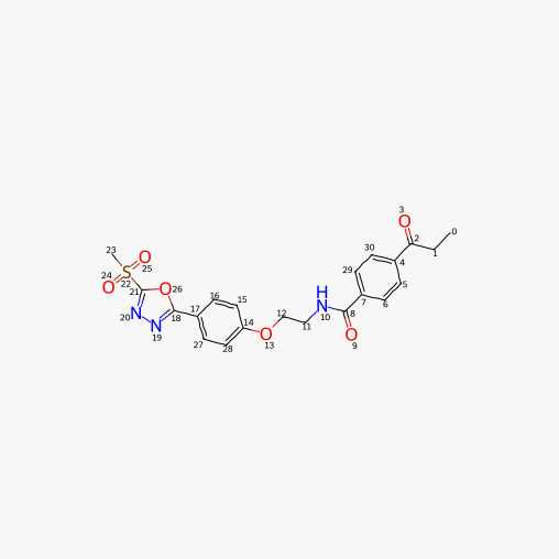 CCC(=O)c1ccc(C(=O)NCCOc2ccc(-c3nnc(S(C)(=O)=O)o3)cc2)cc1